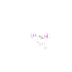 Cc1cccc(C2=C(c3cccc(-c4nc5ccccc5o4)c3)[Si](C)(C)C(c3cccc(-c4nc5ccccc5o4)c3)=C2c2cccc(C)c2)c1